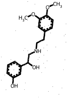 COc1ccc(CCNCC(O)c2cccc(O)c2)cc1OC